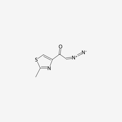 Cc1nc(C(=O)C=[N+]=[N-])cs1